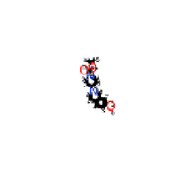 COc1ccc2c(c1)CN(C1CCN(C(=O)OC(C)C)CC1)CC2